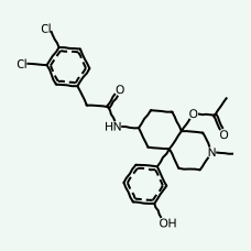 CC(=O)OC12CCC(NC(=O)Cc3ccc(Cl)c(Cl)c3)CC1(c1cccc(O)c1)CCN(C)C2